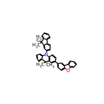 CC1(C)c2ccccc2-c2ccc(N3c4ccccc4C(C)(C)c4cc(-c5ccc6oc7ccccc7c6c5)ccc43)cc21